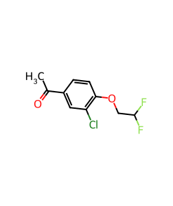 CC(=O)c1ccc(OCC(F)F)c(Cl)c1